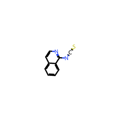 S=C=Nc1nccc2ccccc12